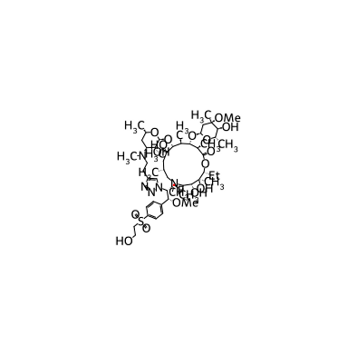 CC[C@H]1OC(=O)[C@H](C)[C@@H](O[C@H]2C[C@@](C)(OC)[C@@H](O)[C@H](C)O2)[C@H](C)[C@@H](O[C@@H]2O[C@H](C)C[C@H](N(C)CCc3cn([C@H](CF)[C@H](OC)c4ccc(S(=O)(=O)CCO)cc4)nn3)[C@H]2O)[C@](C)(O)C[C@@H](C)CN(C)[C@H](C)[C@@H](O)[C@]1(C)O